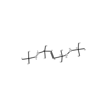 CC(C)(C)OOC(C)(C)/C=C/C(C)(C)OOC(C)(C)C